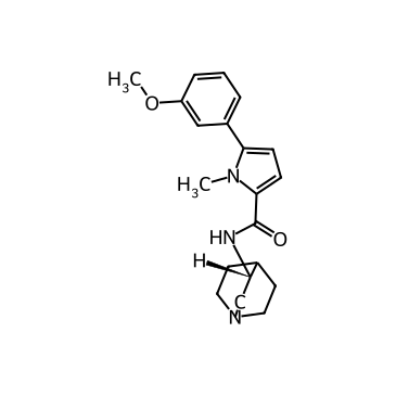 COc1cccc(-c2ccc(C(=O)N[C@H]3CN4CCC3CC4)n2C)c1